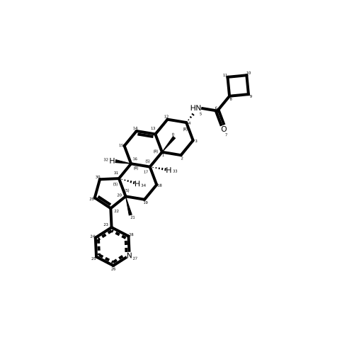 C[C@]12CC[C@@H](NC(=O)C3CCC3)CC1=CC[C@@H]1[C@@H]2CC[C@]2(C)C(c3cccnc3)=CC[C@@H]12